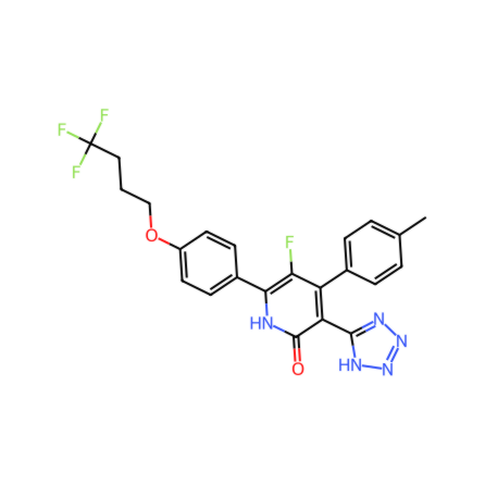 Cc1ccc(-c2c(F)c(-c3ccc(OCCCC(F)(F)F)cc3)[nH]c(=O)c2-c2nnn[nH]2)cc1